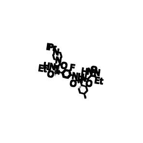 CCC(=O)N[C@@H](C(=O)N1CCN(C(C)C)CC1)[C@@H](C)c1ccc(NC(=O)[C@@H](NC(=O)c2nonc2CC)[C@H]2CC[C@H](C)CC2)c(F)c1